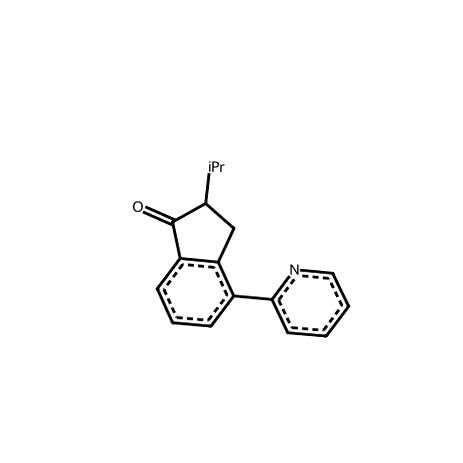 CC(C)C1Cc2c(cccc2-c2ccccn2)C1=O